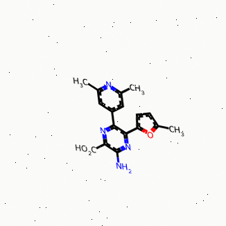 Cc1cc(-c2nc(C(=O)O)c(N)nc2-c2ccc(C)o2)cc(C)n1